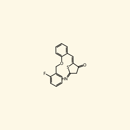 N=C1CC(=O)C(=Cc2ccccc2OCc2ccccc2F)S1